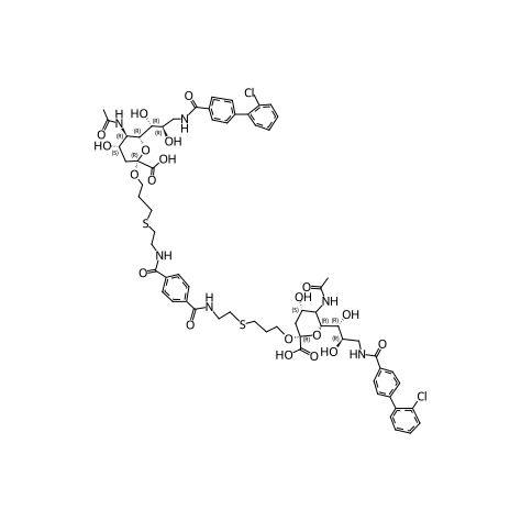 CC(=O)NC1[C@H]([C@H](O)[C@H](O)CNC(=O)c2ccc(-c3ccccc3Cl)cc2)O[C@@](OCCCSCCNC(=O)c2ccc(C(=O)NCCSCCCO[C@]3(C(=O)O)C[C@H](O)[C@@H](NC(C)=O)[C@H]([C@H](O)[C@H](O)CNC(=O)c4ccc(-c5ccccc5Cl)cc4)O3)cc2)(C(=O)O)C[C@@H]1O